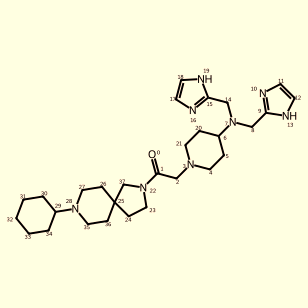 O=C(CN1CCC(N(Cc2ncc[nH]2)Cc2ncc[nH]2)CC1)N1CCC2(CCN(C3CCCCC3)CC2)C1